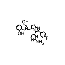 Nc1nccc(-c2c(-c3ccc(F)cc3)nc3n2C(CN(CCO)Cc2ccccc2O)CC3)n1